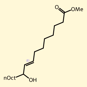 CCCCCCCCC(O)/C=C/CCCCCCC(=O)OC